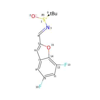 CC(C)(C)[S@+]([O-])N=Cc1cc2cc(F)cc(F)c2o1